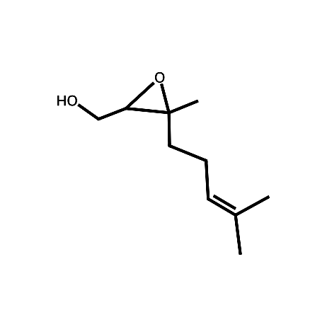 CC(C)=CCCC1(C)OC1CO